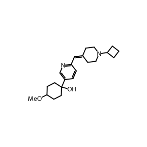 COC1CCC(O)(c2ccc(C=C3CCN(C4CCC4)CC3)nc2)CC1